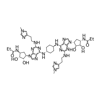 CCC(=O)N[C@H]1C[C@@H](n2cnc3c(N[C@H]4CC[C@H](Nc5nc(NCCc6cn(C)cn6)nc6c5ncn6[C@@H]5C[C@H](NC(=O)CC)[C@@H](O)[C@H]5O)CC4)nc(NCCc4cn(C)cn4)nc32)[C@H](O)[C@@H]1O